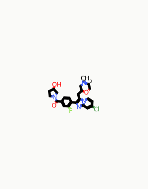 CN1CCOC(Cc2c(-c3ccc(C(=O)N4CCC(O)C4)cc3F)nc3cc(Cl)ccn23)C1